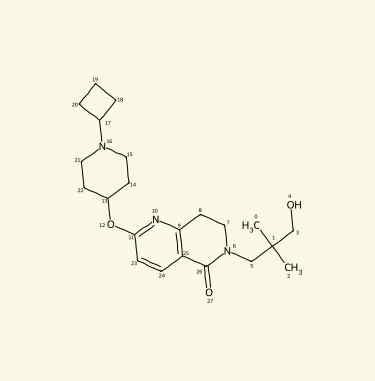 CC(C)(CO)CN1CCc2nc(OC3CCN(C4CCC4)CC3)ccc2C1=O